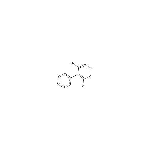 ClC1=C[CH]CC(Cl)=C1c1ccccc1